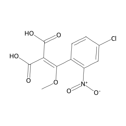 COC(=C(C(=O)O)C(=O)O)c1ccc(Cl)cc1[N+](=O)[O-]